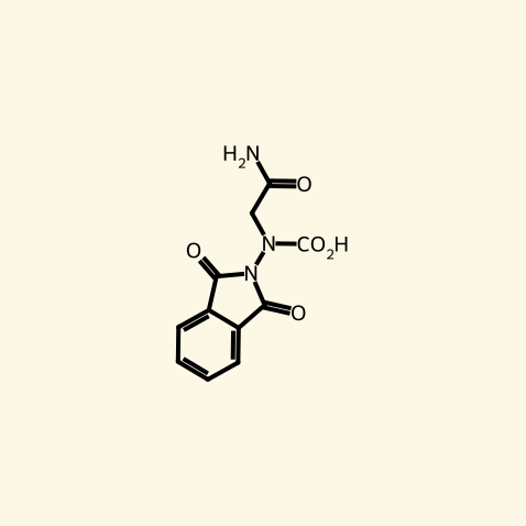 NC(=O)CN(C(=O)O)N1C(=O)c2ccccc2C1=O